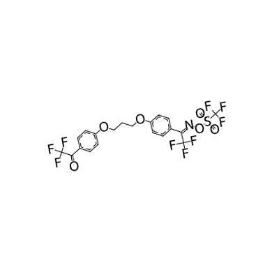 O=C(c1ccc(OCCCOc2ccc(C(=NOS(=O)(=O)C(F)(F)F)C(F)(F)F)cc2)cc1)C(F)(F)F